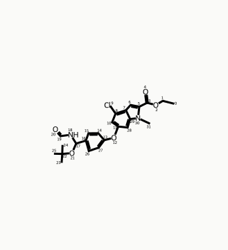 CCOC(=O)c1cc2c(Cl)cc(Oc3ccc(C(NC=O)OC(C)(C)C)cc3)cc2n1C